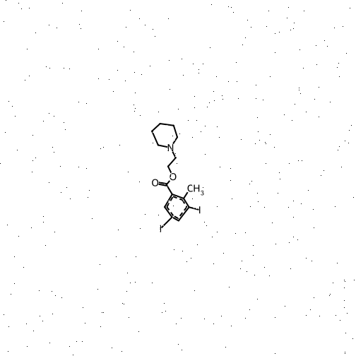 Cc1c(I)cc(I)cc1C(=O)OCCN1CCCCC1